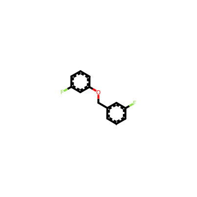 Fc1c[c]cc(COc2cccc(F)c2)c1